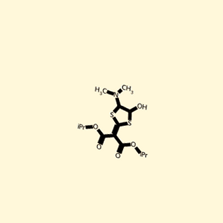 CC(C)OC(=O)C(C(=O)OC(C)C)=C1SC(O)C(N(C)C)S1